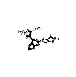 Cl.Cn1cc(-c2nc(N3CC4CNCC4C3)nc3[nH]cnc23)cn1